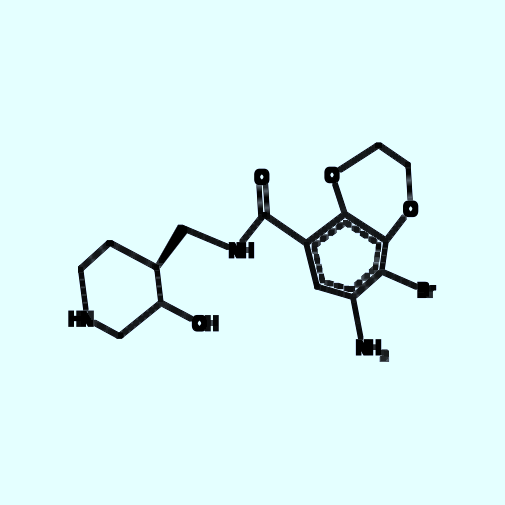 Nc1cc(C(=O)NC[C@@H]2CCNCC2O)c2c(c1Br)OCCO2